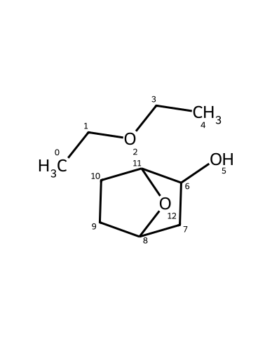 CCOCC.OC1CC2CCC1O2